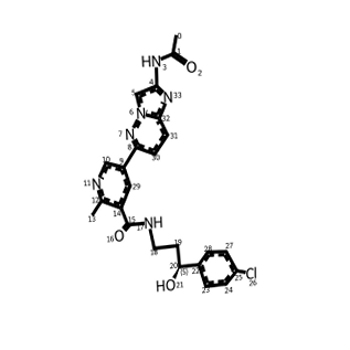 CC(=O)Nc1cn2nc(-c3cnc(C)c(C(=O)NCC[C@H](O)c4ccc(Cl)cc4)c3)ccc2n1